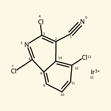 N#Cc1c(Cl)nc(Cl)c2cccc(Cl)c12.[Ir+3]